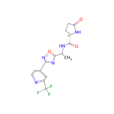 CC(NC(=O)[C@@H]1CCC(=O)N1)c1nc(-c2ccnc(C(F)(F)F)c2)no1